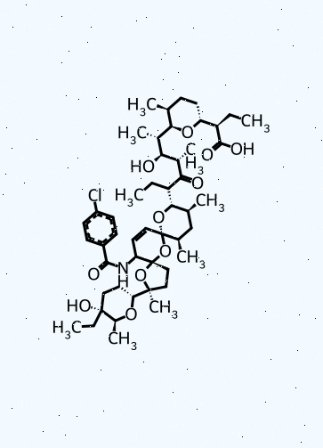 CCC(C(=O)[C@@H](C)[C@@H](O)[C@H](C)[C@@H]1O[C@@H]([C@@H](CC)C(=O)O)CC[C@@H]1C)[C@H]1O[C@]2(C=CC(NC(=O)c3ccc(Cl)cc3)[C@]3(CC[C@@](C)([C@H]4CC[C@](O)(CC)[C@H](C)O4)O3)O2)[C@H](C)C[C@@H]1C